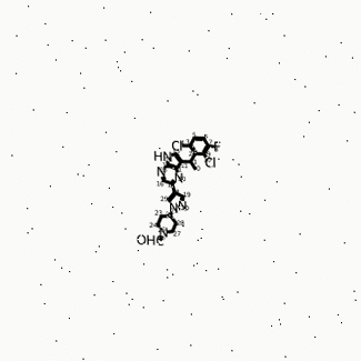 CC(c1c(Cl)ccc(F)c1Cl)c1c[nH]c2ncc(-c3cnn(C4CCN(C=O)CC4)c3)nc12